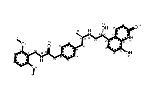 COc1cccc(OC)c1CNC(=O)Cc1ccc(C[C@@H](C)NC[C@H](O)c2ccc(O)c3[nH]c(=O)ccc23)cc1